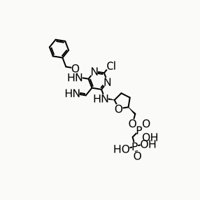 N=Cc1c(NOCc2ccccc2)nc(Cl)nc1N[C@H]1CC[C@@H](COP(=O)(O)CP(=O)(O)O)O1